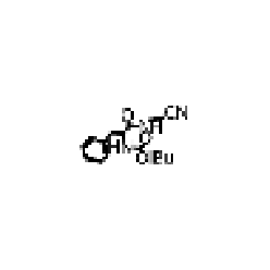 CC(C)COC(=O)NC(Cc1ccccc1)C(=O)NCCC#N